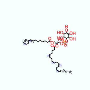 CCCCC/C=C\C/C=C\C/C=C\C/C=C\CCCC(=O)O[C@H](COC(=O)CCCCCCC/C=C\C/C=C\CCCCC)COP(=O)(O)OC1C(O)C(O)C(O)[C@@H](O)C1O